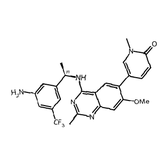 COc1cc2nc(C)nc(N[C@H](C)c3cc(N)cc(C(F)(F)F)c3)c2cc1-c1ccc(=O)n(C)c1